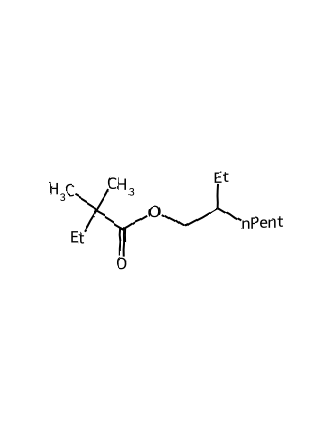 CCCCCC(CC)COC(=O)C(C)(C)CC